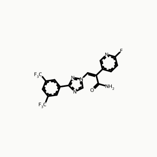 NC(=O)/C(=C\n1cnc(-c2cc(C(F)(F)F)cc(C(F)(F)F)c2)n1)c1ccc(F)nc1